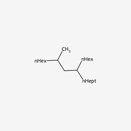 CCCCCCCC(CCCCCC)CC(C)CCCCCC